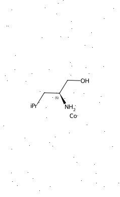 CC(C)C[C@H](N)CO.[Co]